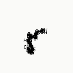 Cc1c(S(C)(=O)=O)c(-c2cc(F)cc(N3CCN(c4ccc(NS(=O)(=O)c5ccc(NC(CCN6CCC(C(=O)OCCCP(=O)(O)O)CC6)Cc6cccs6)c(S(=O)(=O)C(F)(F)F)c5)cc4)CC3)c2)c(-c2ccc(Cl)cc2)n1C(C)C